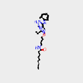 C=C1C=CC=C/C1=N/C(N)=C1\CN(OCCCCNC(=O)CCCCCCCC)C(CC)N1C